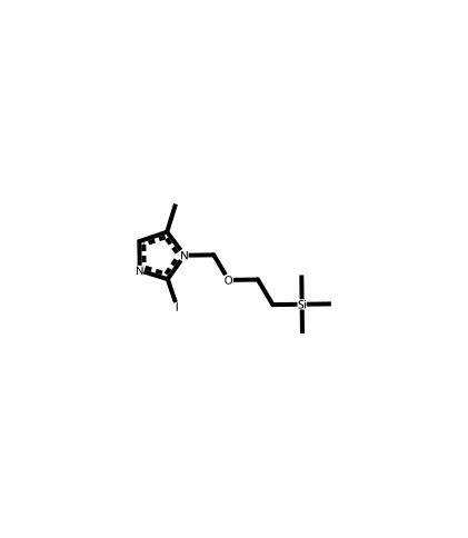 Cc1cnc(I)n1COCC[Si](C)(C)C